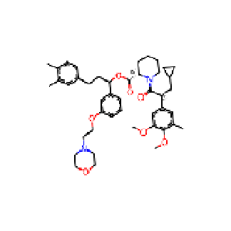 COc1cc([C@H](CC2CC2)C(=O)N2CCCC[C@H]2C(=O)OC(CCc2ccc(C)c(C)c2)c2cccc(OCCN3CCOCC3)c2)cc(C)c1OC